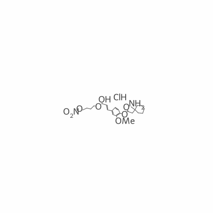 COc1cc(/C=C/C(O)OCCCCO[N+](=O)[O-])ccc1OC(=O)CC1(CN)CCCCC1.Cl